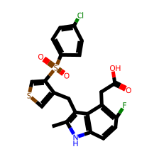 Cc1[nH]c2ccc(F)c(CC(=O)O)c2c1Cc1cscc1S(=O)(=O)c1ccc(Cl)cc1